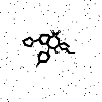 CCCC[C@]1(CC)CS(=O)(=O)c2ccc(N3CCCC3)cc2[C@H](c2ccc(F)cc2)[C@@H]1O